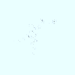 CCCNC(=O)[C@H](CC(=O)NCCNCCN)NC(=O)[C@@H](CC(=O)NCCNCCN)NC(=O)[C@H](Cc1ccccc1)NC(=O)[C@@H](CC(C)C)NC(=O)CCCc1cn(CCOCCn2cc(CCC)nn2)nn1